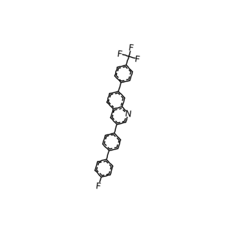 Fc1ccc(-c2ccc(-c3cnc4cc(-c5ccc(C(F)(F)F)cc5)ccc4c3)cc2)cc1